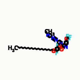 CCCCCCCCCCCCCCCCCCCCCCOc1cc(F)c(S(=O)(=O)c2cnc3ccc(OC(F)(F)F)cc3c2N2CCC(N3CCN(C4CCN(CC)CC4)CC3)CC2)cc1F